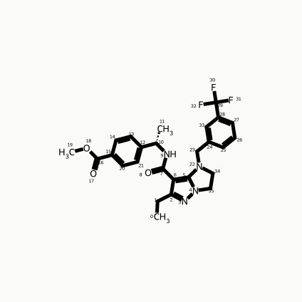 CCc1nn2c(c1C(=O)N[C@@H](C)c1ccc(C(=O)OC)cc1)N(Cc1cccc(C(F)(F)F)c1)CC2